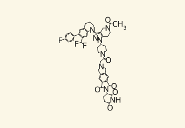 CC(=O)N1CCc2c(c(N3CCCc4cc(-c5ccc(F)cc5)c(C(F)F)cc43)nn2C2CCN(C(=O)CN3Cc4cc5c(cc4C3)C(=O)N(C3CCC(=O)NC3=O)C5=O)CC2)C1